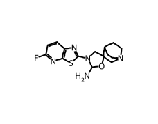 NC1OC2(CN3CCC2CC3)CN1c1nc2ccc(F)nc2s1